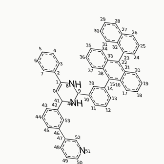 C1=C(c2ccccc2)NC(c2cccc(-c3c4ccccc4c(-c4cccc5ccccc45)c4ccccc34)c2)NC1c1cccc(-c2cccnc2)c1